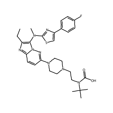 CCc1nc2ccc(N3CCN(CCN(C(=O)O)C(C)(C)C)CC3)nn2c1N(C)c1nc(-c2ccc(F)cc2)cs1